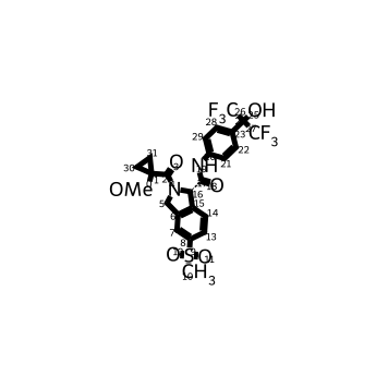 COC1(C(=O)N2Cc3cc(S(C)(=O)=O)ccc3[C@H]2C(=O)Nc2ccc(C(O)(C(F)(F)F)C(F)(F)F)cc2)CC1